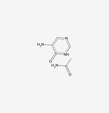 CC(N)=O.Nc1cnc[nH]c1=O